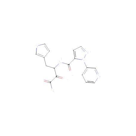 NC(=O)C(=O)C(Cc1cc[nH]c1)NC(=O)c1ccnn1-c1cccnc1